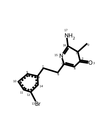 CC1C(=O)C=C(CCc2cccc(Br)c2)N=C1N